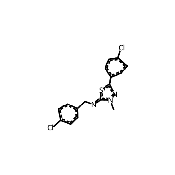 Cn1nc(-c2ccc(Cl)cc2)sc1=NCc1ccc(Cl)cc1